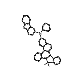 CC1(C)c2ccccc2-c2c1c1ccccc1c1c2ccc2cc(N(c3ccccc3)c3ccc4sc5ccccc5c4c3)ccc21